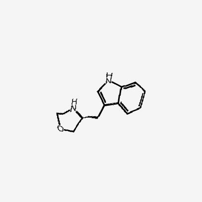 c1ccc2c(C[C@H]3COCN3)c[nH]c2c1